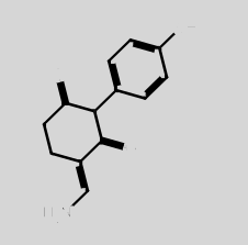 Cc1ccc(C2C(=O)CCC(=CN)C2=O)cc1